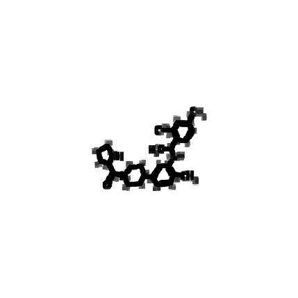 Cc1ccc(C(C)Nc2cc(C3CCN(C(=O)C4CCCN4)CC3)ccc2C)c(Cl)c1